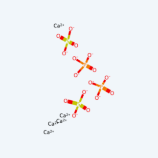 O=P([O-])([O-])[O-].O=P([O-])([O-])[O-].O=S(=O)([O-])[O-].O=S(=O)([O-])[O-].[Ca+2].[Ca+2].[Ca+2].[Ca+2].[Ca+2]